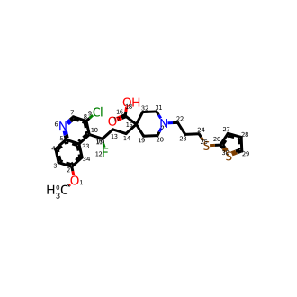 COc1ccc2ncc(Cl)c([C@H](F)CCC3(C(=O)O)CCN(CCCSc4cccs4)CC3)c2c1